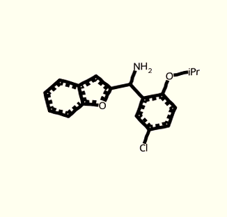 CC(C)Oc1ccc(Cl)cc1C(N)c1cc2ccccc2o1